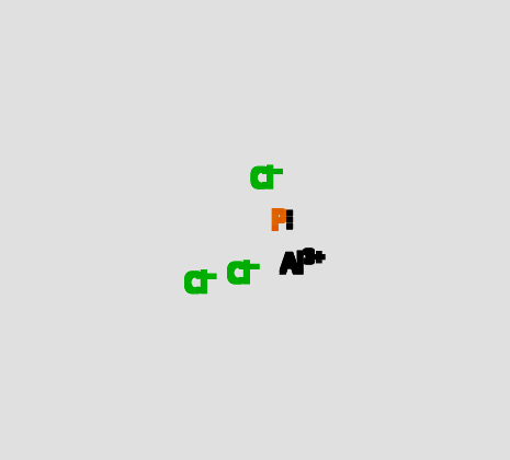 [Al+3].[Cl-].[Cl-].[Cl-].[P]